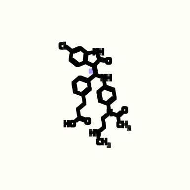 CNCCN(C(C)=O)c1ccc(N/C(=C2\C(=O)Nc3cc(Cl)ccc32)c2cccc(CCC(=O)O)c2)cc1